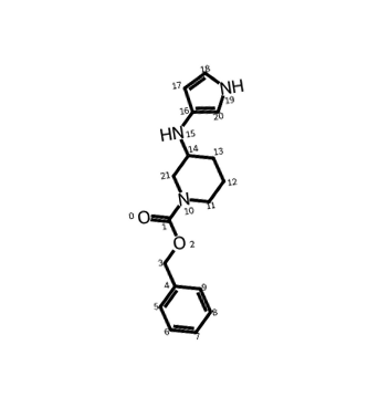 O=C(OCc1ccccc1)N1CCCC(Nc2cc[nH]c2)C1